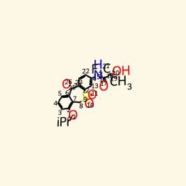 CC(C)Oc1cccc2c1CS(=O)(=O)c1cc(NC(=O)C(C)(O)C(F)(F)F)ccc1C2=O